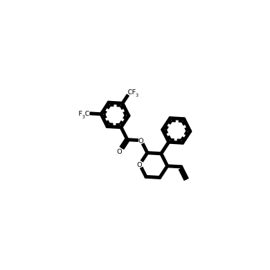 C=CC1CCOC(OC(=O)c2cc(C(F)(F)F)cc(C(F)(F)F)c2)C1c1ccccc1